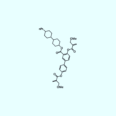 C=C(COC)C(=O)Oc1ccc(-c2ccc(OC(=O)C(=C)COC)c(C(=O)OC3CCC(C4CCC(CCC)CC4)CC3)c2)cc1